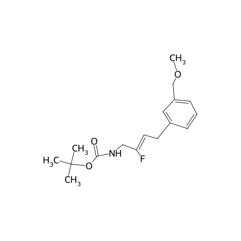 COCc1cccc(C/C=C(\F)CNC(=O)OC(C)(C)C)c1